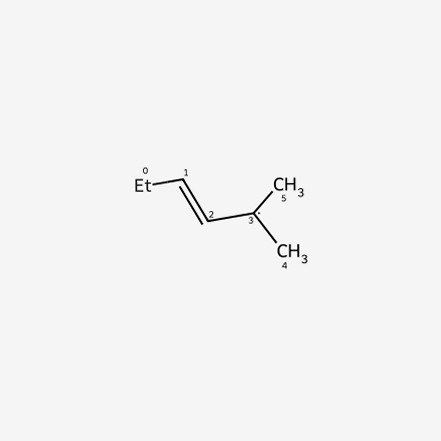 CCC=C[C](C)C